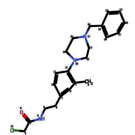 Cc1cc(CCNC(=O)CCl)ccc1N1CCN(Cc2ccccc2)CC1